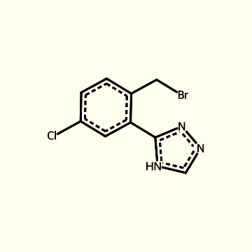 Clc1ccc(CBr)c(-c2nnc[nH]2)c1